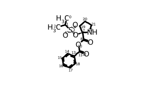 CC(C)S(=O)(=O)O[C@@]1(C(=O)OC(=O)c2ccccc2)CCCN1